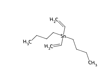 C=[CH][Sn]([CH]=C)([CH2]CCC)[CH2]CCC